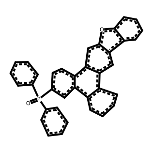 O=P(c1ccccc1)(c1ccccc1)c1ccc2c(c1)c1ccccc1c1cc3c(cc21)oc1ccccc13